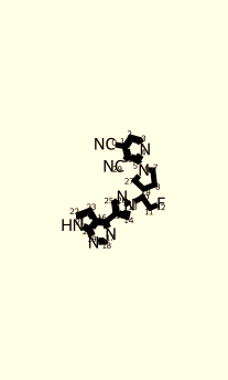 N#Cc1ccnc(N2CC[C@H](C(CF)n3cc(-c4ncnc5[nH]ccc45)cn3)C2)c1C#N